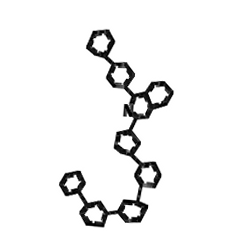 c1ccc(-c2ccc(-c3nc(-c4cccc(-c5cccc(-c6cccc(-c7cccc(-c8ccccc8)c7)c6)c5)c4)cc4ccccc34)cc2)cc1